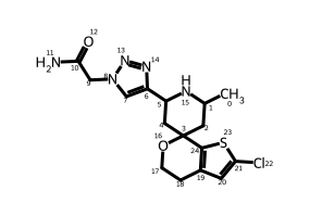 CC1CC2(CC(c3cn(CC(N)=O)nn3)N1)OCCc1cc(Cl)sc12